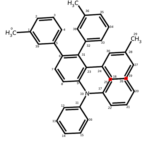 Cc1cccc(-c2ccc(N(c3ccccc3)c3ccccc3)c(-c3cccc(C)c3)c2-c2cccc(C)c2)c1